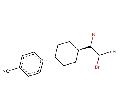 CCCC(Br)C(Br)[C@H]1CC[C@H](c2ccc(C#N)cc2)CC1